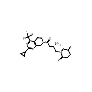 CC1CCC(=O)N(C[C@@H](N)CC(=O)N2CCc3c(nc(C4CC4)nc3C(F)(F)F)C2)C1